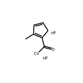 CC1=C([C](=O)[Co])CC=C1.F.F